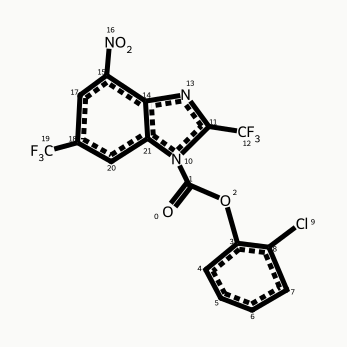 O=C(Oc1ccccc1Cl)n1c(C(F)(F)F)nc2c([N+](=O)[O-])cc(C(F)(F)F)cc21